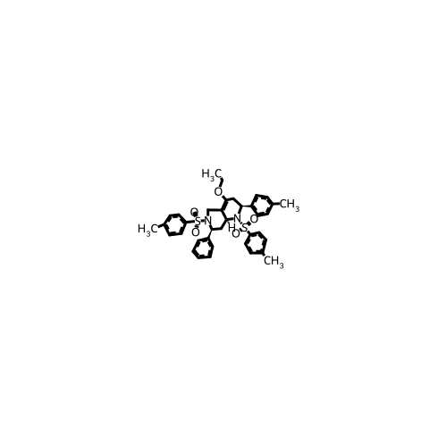 CCOC1=C2CN(S(=O)(=O)c3ccc(C)cc3)[C@H](c3ccccc3)C[C@@H]2N(S(=O)(=O)c2ccc(C)cc2)[C@H](c2ccc(C)cc2)C1